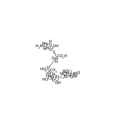 C[C@H]1OC(O[C@H]2[C@@H](O)CC(O[C@H]3[C@@H](O)C[C@H]([C@@H]4CC[C@@]5(C)[C@H](CCC6[C@@H]5C[C@@H](O)[C@]5(C)[C@@H](C7=CC(=O)OC7)CC[C@]65O)C4)O[C@@H]3C)O[C@@H]2C)C[C@H](O)[C@@H]1OCCCCCC(=O)NC(CCSC[C@@H]1O[C@H](n2cnc3c(N)ncnc32)[C@@H](O)[C@H]1O)C(=O)O